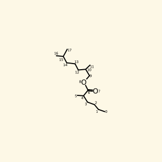 CCCCC(C)C(=O)OCC(C)CCCC(C)C